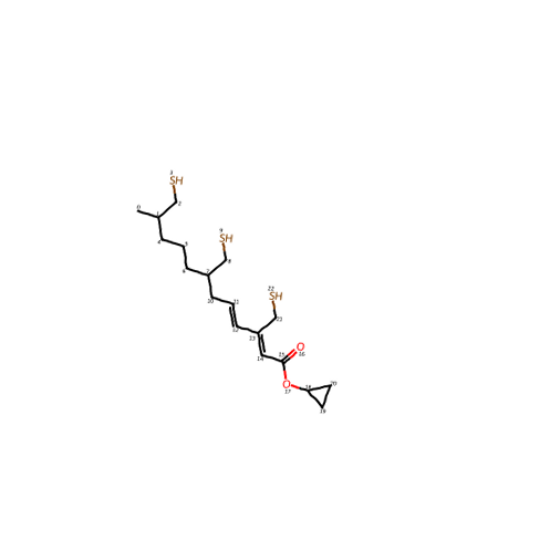 CC(CS)CCCC(CS)CC=CC(=CC(=O)OC1CC1)CS